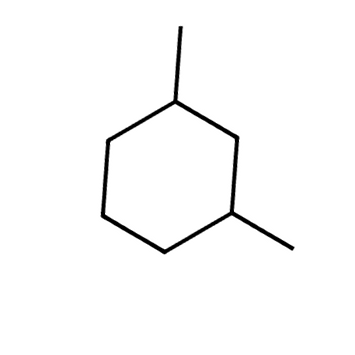 CC1CCCC(C)C1